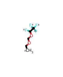 CCOCOC(F)C(F)(F)F